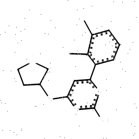 Nc1nc(NC2CCOC2)cc(-c2cccc(Cl)c2Cl)n1